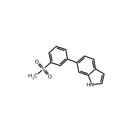 CS(=O)(=O)c1cc[c]c(-c2ccc3cc[nH]c3c2)c1